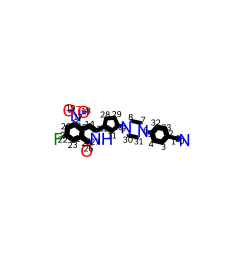 N#Cc1ccc(N2CCN(C3C=C(c4cc5c([N+](=O)[O-])cc(F)cc5c(=O)[nH]4)CC3)CC2)cc1